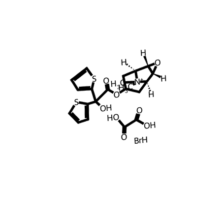 Br.C[N+]1(C)[C@@H]2CC(OC(=O)C(O)(c3cccs3)c3cccs3)C[C@H]1[C@@H]1O[C@@H]12.O=C(O)C(=O)O